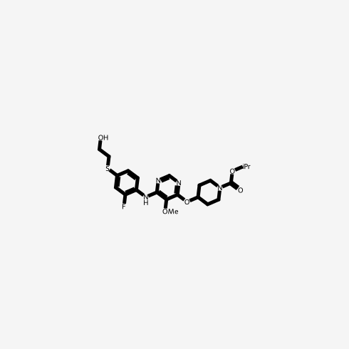 COc1c(Nc2ccc(SCCO)cc2F)ncnc1OC1CCN(C(=O)OC(C)C)CC1